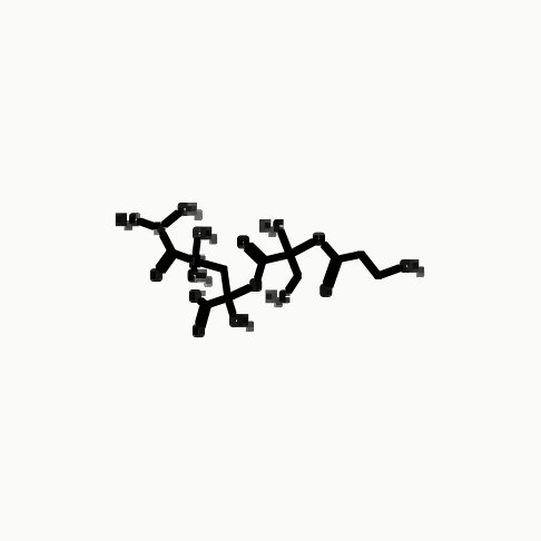 CCCC(=O)OC(C)(CC)C(=O)OC(C)(C[N+](C)(C)C(=O)N(C)C)C(=O)[O-]